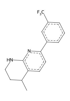 CC1CCNc2nc(-c3cccc(C(F)(F)F)c3)ccc21